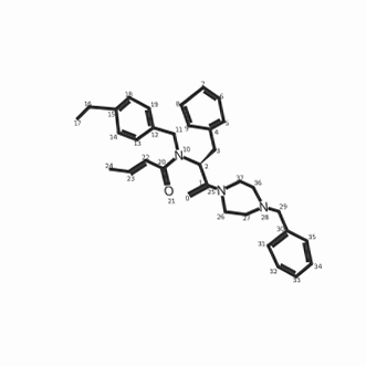 C=C([C@H](Cc1ccccc1)N(Cc1ccc(CC)cc1)C(=O)/C=C/C)N1CCN(Cc2ccccc2)CC1